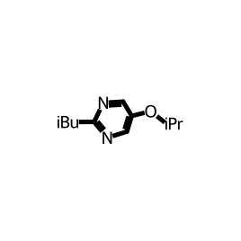 CCC(C)c1ncc(OC(C)C)cn1